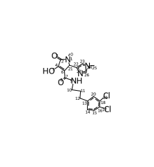 CN1C(=O)C(O)=C(C(=O)NCCCc2ccc(Cl)c(Cl)c2)C1c1cn(C)cn1